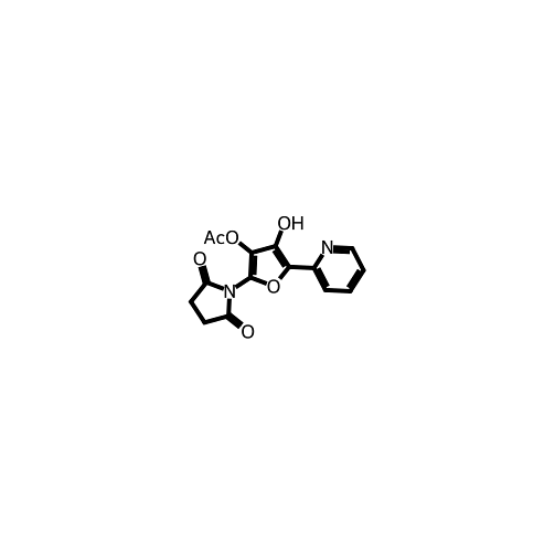 CC(=O)Oc1c(N2C(=O)CCC2=O)oc(-c2ccccn2)c1O